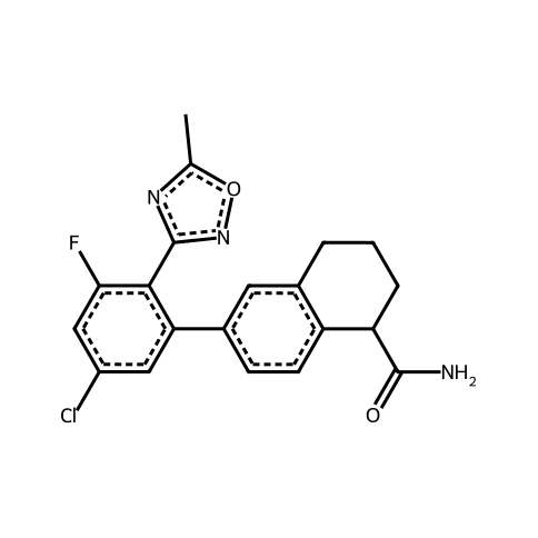 Cc1nc(-c2c(F)cc(Cl)cc2-c2ccc3c(c2)CCCC3C(N)=O)no1